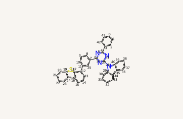 c1ccc(-c2nc(-c3cccc(-c4cccc5c4sc4ccccc45)c3)nc(-n3c4ccccc4c4ccccc43)n2)cc1